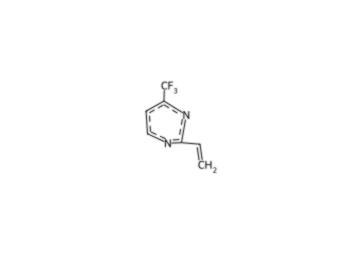 C=Cc1nccc(C(F)(F)F)n1